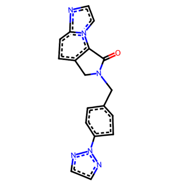 O=C1c2c(ccc3nccn23)CN1Cc1ccc(-n2nccn2)cc1